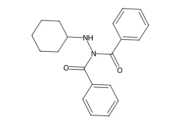 O=C(c1ccccc1)N(NC1CCCCC1)C(=O)c1ccccc1